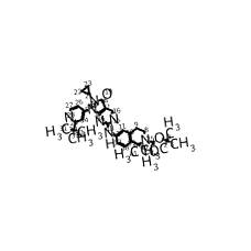 CC(C)(C)OC(=O)N1CCc2cc(Nc3ncc4c(=O)n(C5CC5)n(-c5ccnc(C(C)(C)C)c5)c4n3)ccc2C1(C)C